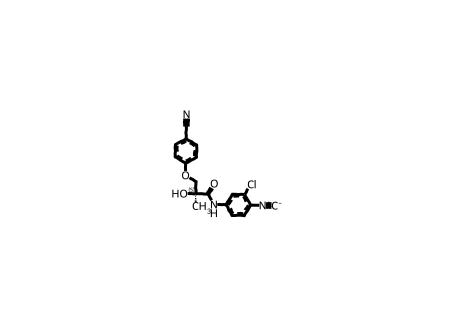 [C-]#[N+]c1ccc(NC(=O)[C@@](C)(O)COc2ccc(C#N)cc2)cc1Cl